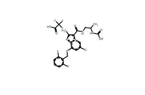 Cc1nc2c(OCc3c(F)cccc3F)cc(Cl)cn2c1C(=O)NCC(C)NC(=O)O.O=C(O)C(F)(F)F